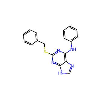 c1ccc(CSc2nc(Nc3ccccc3)c3nc[nH]c3n2)cc1